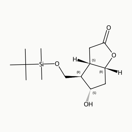 CC(C)(C)[Si](C)(C)OC[C@H]1[C@@H]2CC(=O)O[C@@H]2C[C@@H]1O